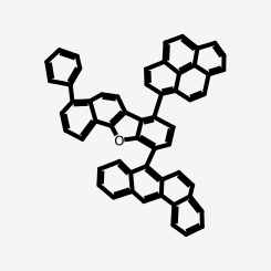 c1ccc(-c2cccc3c2ccc2c3oc3c(-c4c5ccccc5cc5c4ccc4ccccc45)ccc(-c4ccc5ccc6cccc7ccc4c5c67)c32)cc1